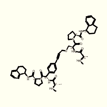 CN[C@@H](C)C(=O)N[C@@H](COCC#Cc1ccc([C@H](NC(=O)[C@H](C)NC)C(=O)N2CCC[C@H]2C(=O)NC2CCCc3ccccc32)cc1)C(=O)N1CCC[C@H]1C(=O)N[C@@H]1CCCc2ccccc21